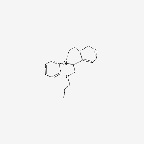 CCCOCC1C2=CC=CCC2CCN1c1ccccc1